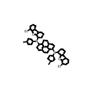 CCc1cccc2c1oc1c(N(c3ccc(C)cc3)c3ccc4ccc5c(N(c6ccc(C)cc6)c6cccc7c6oc6c(CC)cccc67)ccc6ccc3c4c65)cccc12